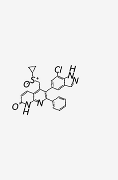 O=c1ccc2c(C[S+]([O-])C3CC3)c(-c3cc(Cl)c4[nH]ncc4c3)c(-c3ccccc3)nc2[nH]1